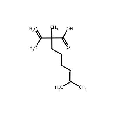 C=C(C)C(C)(CCCC=C(C)C)C(=O)O